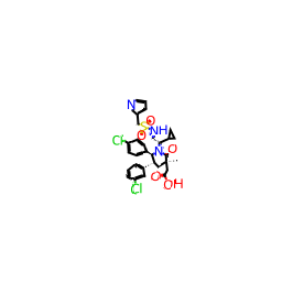 C[C@]1(CC(=O)O)C[C@H](c2cccc(Cl)c2)[C@@H](c2ccc(Cl)cc2)N([C@H](CNS(=O)(=O)Cc2cccnc2)C2CC2)C1=O